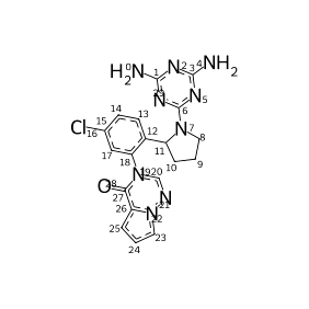 Nc1nc(N)nc(N2CCCC2c2ccc(Cl)cc2-n2cnn3cccc3c2=O)n1